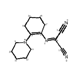 N#CC(C#N)=NC1=C(N2CCCCC2)CCCC1